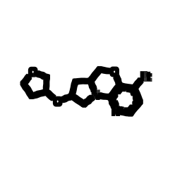 CCc1ccnc2c1OCC1CC(OC3CCOC3)CN21